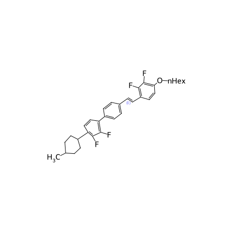 CCCCCCOc1ccc(/C=C/c2ccc(-c3ccc(C4CCC(C)CC4)c(F)c3F)cc2)c(F)c1F